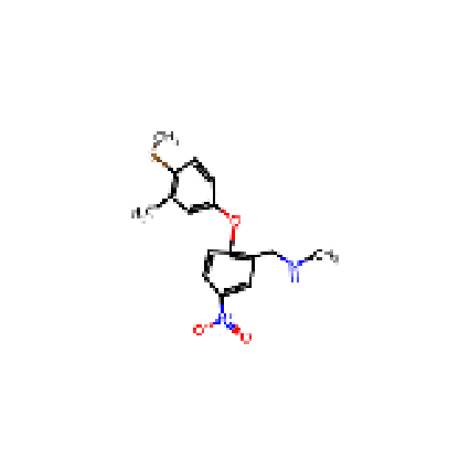 CNCc1cc([N+](=O)[O-])ccc1Oc1ccc(SC)c(C)c1